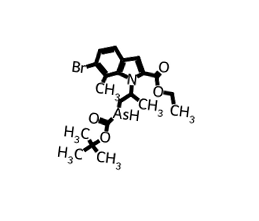 CCOC(=O)c1cc2ccc(Br)c(C)c2n1C(C)C[AsH]C(=O)OC(C)(C)C